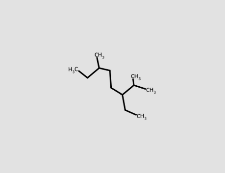 CC[C](CCC(C)CC)C(C)C